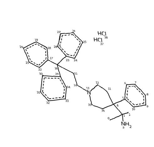 CC(C)(N)C1(c2ccccc2)CCN(CCC(c2ccccc2)(c2ccccc2)c2ccccc2)CC1.Cl.Cl